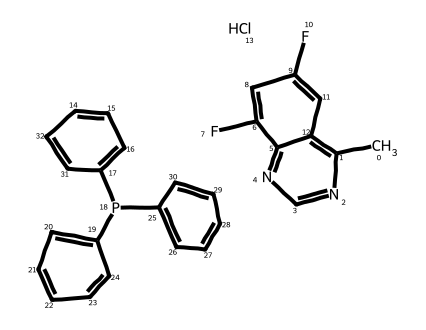 Cc1ncnc2c(F)cc(F)cc12.Cl.c1ccc(P(c2ccccc2)c2ccccc2)cc1